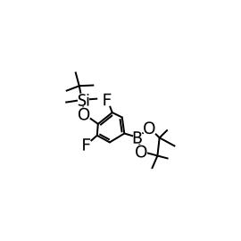 CC1(C)OB(c2cc(F)c(O[Si](C)(C)C(C)(C)C)c(F)c2)OC1(C)C